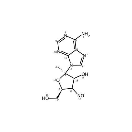 C[C@@]1(n2cnc3c(N)ncnc32)O[C@H](CO)C(N=O)C1O